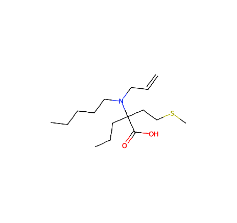 C=CCN(CCCCC)C(CCC)(CCSC)C(=O)O